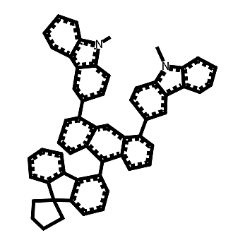 Cn1c2ccccc2c2cc(-c3cccc4c(-c5cccc6c5-c5ccccc5C65CCCC5)c5cccc(-c6ccc7c(c6)c6ccccc6n7C)c5cc34)ccc21